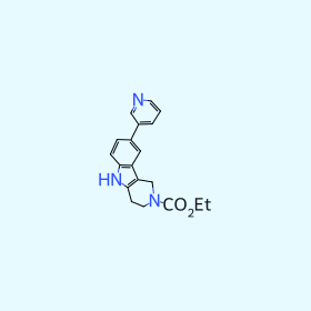 CCOC(=O)N1CCc2[nH]c3ccc(-c4cccnc4)cc3c2C1